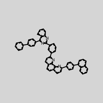 c1ccc(-c2ccc(-c3nc(-c4cccc(-c5ccc6ccc7ccc(-c8ccc(-c9cccc%10ccccc9%10)cc8)nc7c6n5)c4)nc4ccccc34)cc2)cc1